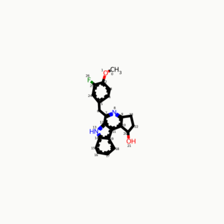 COc1ccc(Cc2nc3c(c4c2[nH]c2ccccc24)C(O)CC3)cc1F